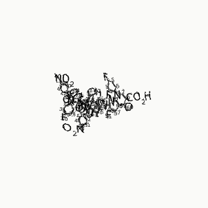 O=C(O)c1cn(-c2ccc(F)cc2F)c2nc(N3C[C@@H]4C(N(C(=O)S(=O)ON(c5ccc(F)cc5)S(=O)(=O)c5ccc([N+](=O)[O-])cc5)S(=O)(=O)c5ccc([N+](=O)[O-])cc5)[C@@H]4C3)c(F)cc2c1=O